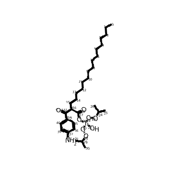 CCCCCCCCCCCCCCCCC(C(=O)[O][Ti]([OH])([O]OC(C)C)[O]OC(C)C)C(=O)c1ccc(N)cc1